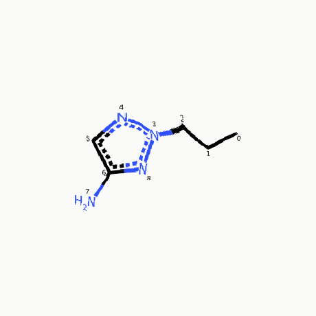 CCCn1ncc(N)n1